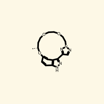 C[C@@H]1CCOCCOCCn2ncc(n2)-c2n[nH]c3ccc(cc23)O1